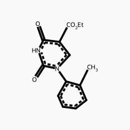 CCOC(=O)c1cn(-c2ccccc2C)c(=O)[nH]c1=O